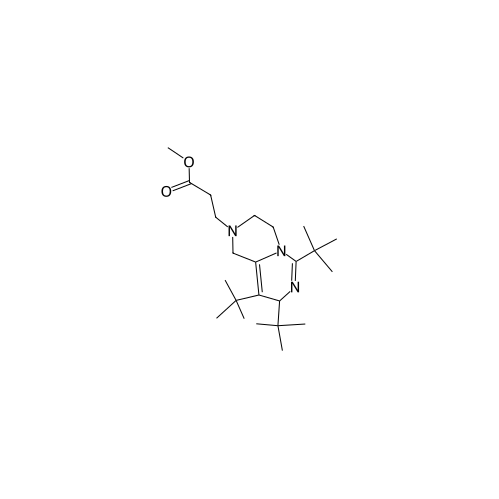 COC(=O)CCN1CCN2C(C(C)(C)C)=NC(C(C)(C)C)C(C(C)(C)C)=C2C1